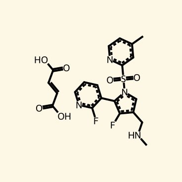 CNCc1cn(S(=O)(=O)c2cc(C)ccn2)c(-c2cccnc2F)c1F.O=C(O)C=CC(=O)O